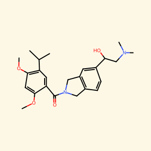 COc1cc(OC)c(C(C)C)cc1C(=O)N1Cc2ccc(C(O)CN(C)C)cc2C1